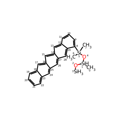 C[SiH](O[SiH3])O[Si](C)(C)c1cccc2cc3cc4cc5ccccc5cc4cc3cc12